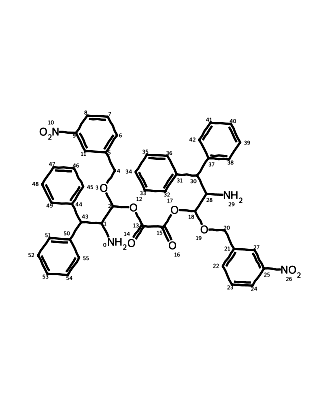 NC(C(OCc1cccc([N+](=O)[O-])c1)OC(=O)C(=O)OC(OCc1cccc([N+](=O)[O-])c1)C(N)C(c1ccccc1)c1ccccc1)C(c1ccccc1)c1ccccc1